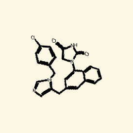 O=C1CN(c2cc(Cc3cncn3Cc3ccc(Cl)cc3)cc3ccccc23)C(=O)N1